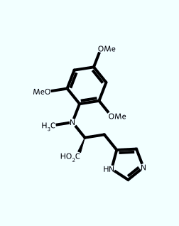 COc1cc(OC)c(N(C)[C@@H](Cc2cnc[nH]2)C(=O)O)c(OC)c1